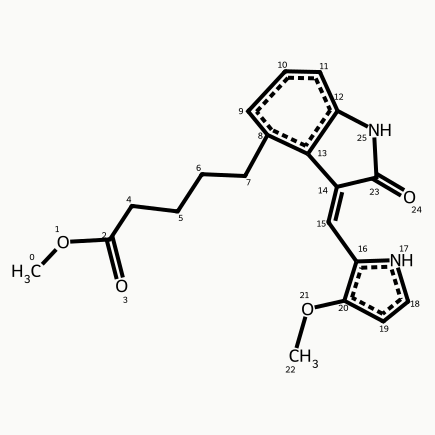 COC(=O)CCCCc1cccc2c1/C(=C/c1[nH]ccc1OC)C(=O)N2